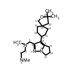 CNCCN(C)Cc1nn2c(c1C1CCC3(CC1)COC(C)(C)C3)CCC2